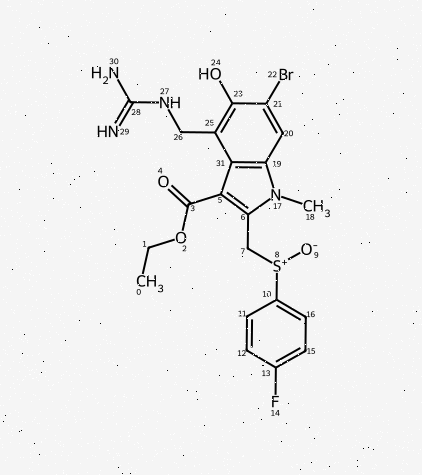 CCOC(=O)c1c(C[S+]([O-])c2ccc(F)cc2)n(C)c2cc(Br)c(O)c(CNC(=N)N)c12